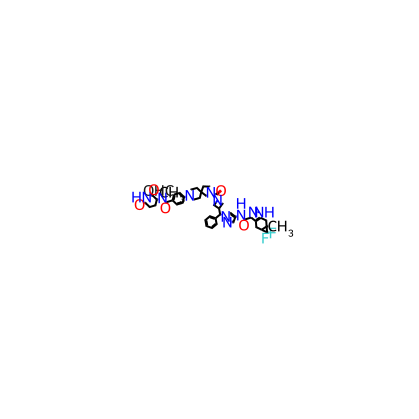 CN(C(=O)c1ccc(N2CCC3(CCN(C(=O)N4CC(C(c5ccccc5)n5cc(NC(=O)c6n[nH]c7c6CC6C(F)(F)C6(C)C7)cn5)C4)C3)CC2)cc1C=O)C1CCC(=O)NC1=O